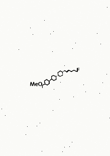 COC(C)C1CCC(C2CCC([C@H]3CC[C@H](C/C=C/CCCF)CC3)CC2)CC1